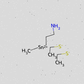 CC[S-].CC[S-].[CH3][Sn+2][CH2]CCN